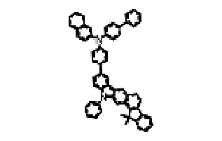 CC1(C)c2ccccc2-c2ccc3cc4c5cc(-c6ccc(N(c7ccc(-c8ccccc8)cc7)c7ccc8ccccc8c7)cc6)ccc5n(-c5ccccc5)c4cc3c21